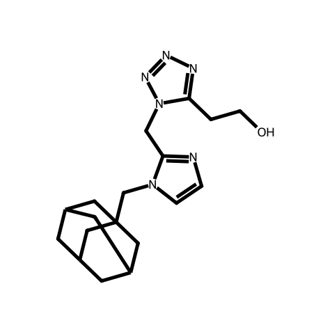 OCCc1nnnn1Cc1nccn1CC12CC3CC(CC(C3)C1)C2